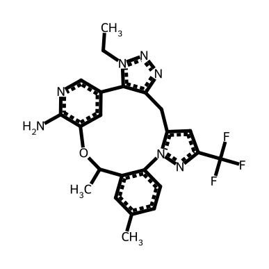 CCn1nnc2c1-c1cnc(N)c(c1)OC(C)c1cc(C)ccc1-n1nc(C(F)(F)F)cc1C2